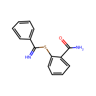 N=C(Sc1ccccc1C(N)=O)c1ccccc1